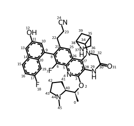 C[C@H](Oc1nc2c(F)c(-c3cc(O)cc4ccc(F)cc34)c(CCC#N)cc2c2c1NC(=O)CN2C1C2CNC1C2)[C@@H]1CCCN1C